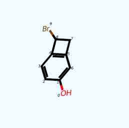 Oc1ccc2c(c1)CC2Br